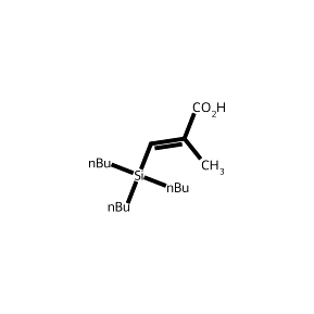 CCCC[Si](C=C(C)C(=O)O)(CCCC)CCCC